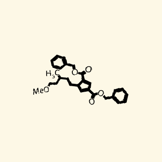 COCCC(C)CCC1C=C(C(=O)OCc2ccccc2)C=C1C(=O)OCc1ccccc1